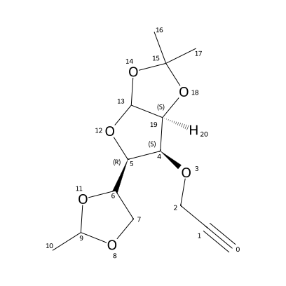 C#CCO[C@H]1[C@@H](C2COC(C)O2)OC2OC(C)(C)O[C@H]21